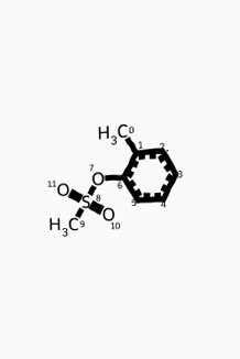 Cc1[c]cccc1OS(C)(=O)=O